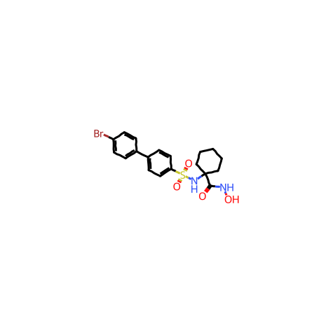 O=C(NO)C1(NS(=O)(=O)c2ccc(-c3ccc(Br)cc3)cc2)CCCCC1